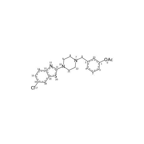 CC(=O)Oc1cccc(CN2CCN(c3nc4ccc(Cl)cc4s3)CC2)c1